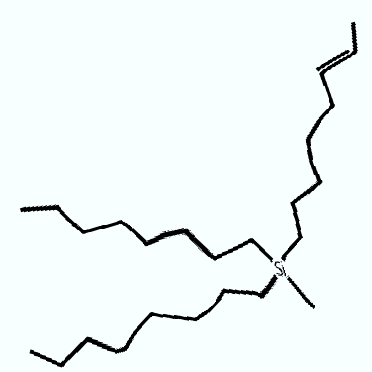 CC=CCCCCC[Si](C)(CCCCCCCC)CCCCCCCC